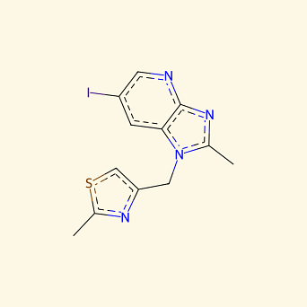 Cc1nc(Cn2c(C)nc3ncc(I)cc32)cs1